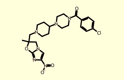 CC1(CN2CCC(N3CCN(C(=O)c4ccc(Cl)cc4)CC3)CC2)Cn2cc([N+](=O)[O-])nc2O1